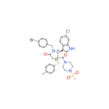 Cc1ccc(S[C@@]2(C(=O)N3CCN(S(C)(=O)=O)CC3)CC(=O)N(Cc3ccc(Br)cc3)[C@H]2c2c[nH]c3cc(Cl)ccc23)cc1